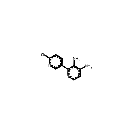 Nc1ccnc(-c2ccc(Cl)nc2)c1N